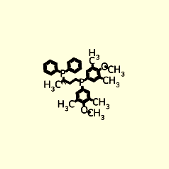 COc1c(C)cc(P(CC[C@@H](C)P(c2ccccc2)c2ccccc2)c2cc(C)c(OC)c(C)c2)cc1C